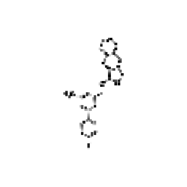 Cc1cc(COC2OCc3cc4ccccc4nc32)cc(-c2ccc(F)cc2)c1